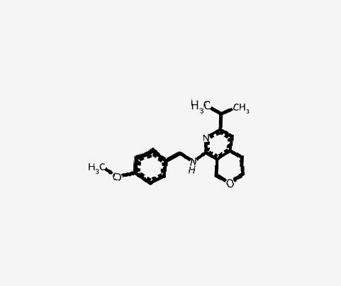 COc1ccc(CNc2nc(C(C)C)cc3c2COCC3)cc1